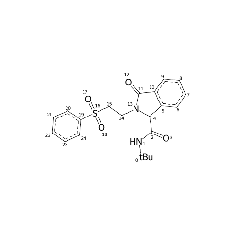 CC(C)(C)NC(=O)C1c2ccccc2C(=O)N1CCS(=O)(=O)c1ccccc1